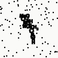 COCC(Nc1ncnc2cc(C3(C)C=CC(N4CCNCC4)=CC3)sc12)c1ccccc1